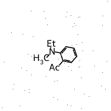 CCN(C)c1ccccc1C(C)=O